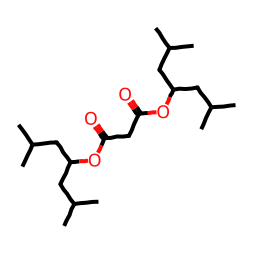 CC(C)CC(CC(C)C)OC(=O)CC(=O)OC(CC(C)C)CC(C)C